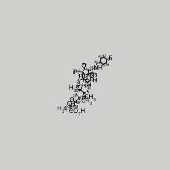 CC(C)C1=C2[C@H]3CCC4[C@@H](CCC5C(C)(C)[C@@H](OC(=O)CC(C)(C)C(=O)O)CC[C@]45C)[C@]3(C)CC[C@@]2([C@H](O)CNCc2ccc(F)cc2)CC1=O